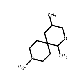 CC1COC(C)C2(CCN(C)CC2)C1